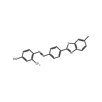 Cc1ccc2nc(-c3ccc(N=Nc4ccc(O)cc4C(F)(F)F)cc3)sc2c1